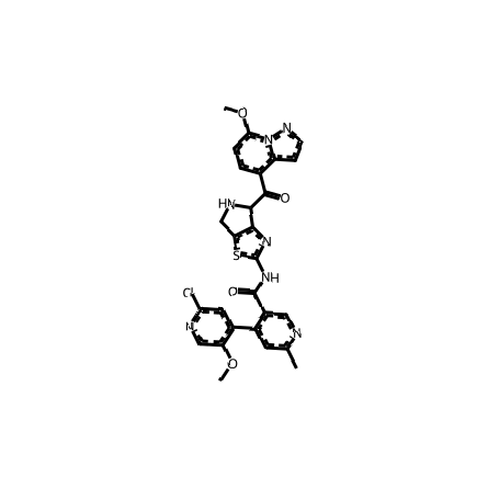 COc1cnc(Cl)cc1-c1cc(C)ncc1C(=O)Nc1nc2c(s1)CNC2C(=O)c1ccc(OC)n2nccc12